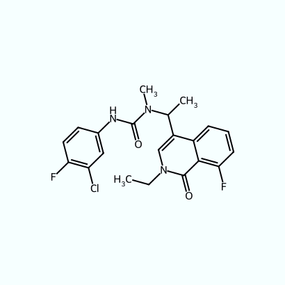 CCn1cc(C(C)N(C)C(=O)Nc2ccc(F)c(Cl)c2)c2cccc(F)c2c1=O